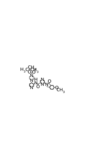 COc1ccc2c(c1)C(=O)N(c1cncc(C(=O)Nc3cnccc3N3CCN(C(=O)OC(C)(C)C)CC3)n1)C2